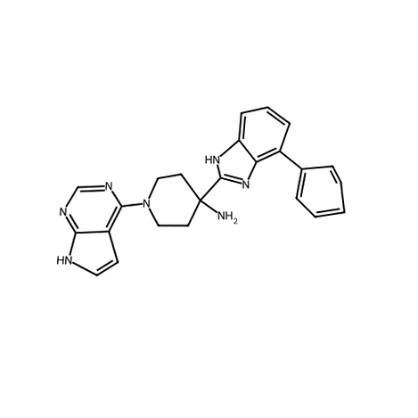 NC1(c2nc3c(-c4ccccc4)cccc3[nH]2)CCN(c2ncnc3[nH]ccc23)CC1